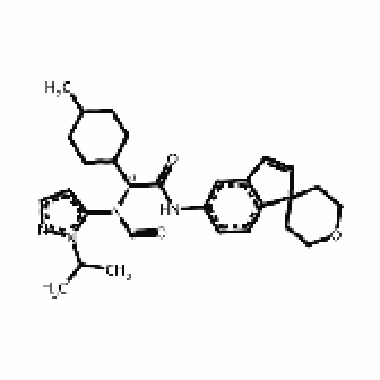 CC1CCC([C@@H](C(=O)Nc2ccc3c(c2)C=CC32CCOCC2)N(C=O)c2ccnn2C(C)C)CC1